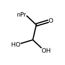 CCCC(=O)C(O)O